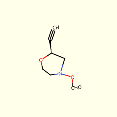 C#C[C@H]1CN(OC=O)CCO1